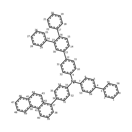 c1ccc(-c2ccc(N(c3ccc(-c4ccc(-c5ccccc5)c(-c5ccccc5)c4)cc3)c3ccc(-c4cccc5c4ccc4ccccc45)cc3)cc2)cc1